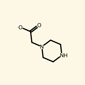 [O]C(=O)CN1CCNCC1